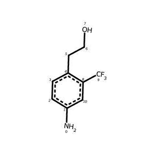 Nc1ccc(CCO)c(C(F)(F)F)c1